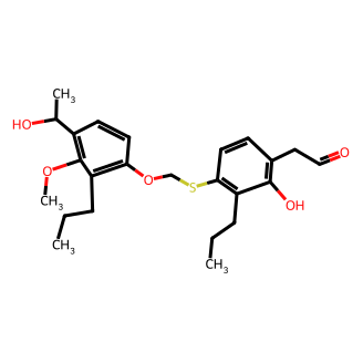 CCCc1c(SCOc2ccc(C(C)O)c(OC)c2CCC)ccc(CC=O)c1O